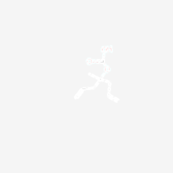 C=CCC(C)(CC=C)OC(=O)O